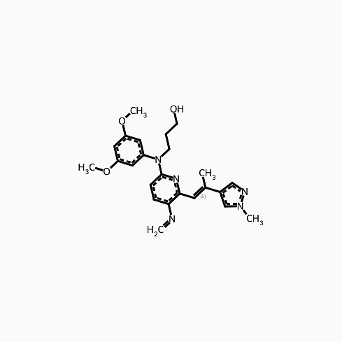 C=Nc1ccc(N(CCCO)c2cc(OC)cc(OC)c2)nc1/C=C(\C)c1cnn(C)c1